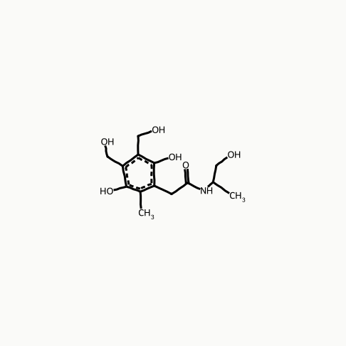 Cc1c(O)c(CO)c(CO)c(O)c1CC(=O)NC(C)CO